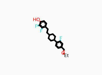 CCOCc1ccc(C2CCC(CCc3ccc(O)c(F)c3F)CC2)c(F)c1